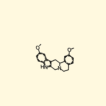 COc1ccc2c(c1)C1Cc3c([nH]c4ccc(OC)cc34)CN1CC2